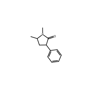 CC1CC(c2ccccc2)C(=O)N1C